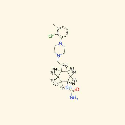 [2H]C1([2H])C([2H])([2H])[C@]([2H])(NC(N)=O)C([2H])([2H])C([2H])([2H])[C@@]1([2H])CCN1CCN(c2cccc(C)c2Cl)CC1